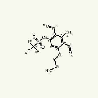 COCOc1cc(OS(=O)(=O)C(F)(F)F)c(N=O)c(C)c1C=O